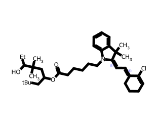 CCC(O)C(C)(C)CC(CC(C)(C)C)OC(=O)CCCCCN1/C(=C/C=C2\CCCC=C2Cl)C(C)(C)c2ccccc21